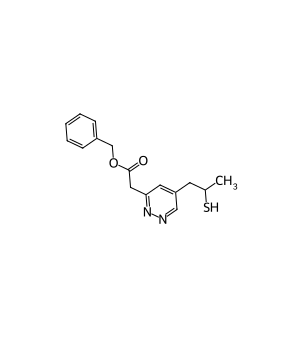 CC(S)Cc1cnnc(CC(=O)OCc2ccccc2)c1